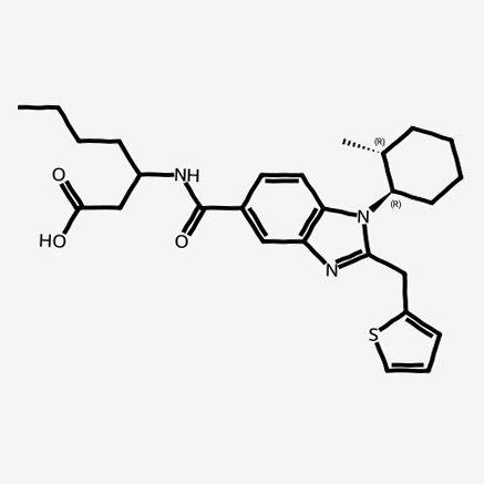 CCCCC(CC(=O)O)NC(=O)c1ccc2c(c1)nc(Cc1cccs1)n2[C@@H]1CCCC[C@H]1C